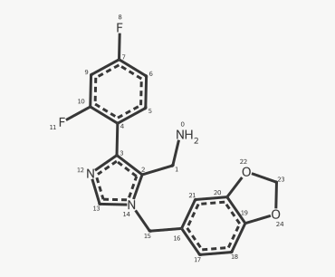 NCc1c(-c2ccc(F)cc2F)ncn1Cc1ccc2c(c1)OCO2